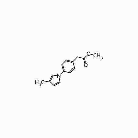 COC(=O)Cc1ccc(-n2ccc(C)c2)cc1